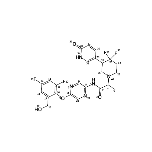 CC(C(=O)Nc1cnc(Oc2c(F)cc(F)cc2CO)cn1)N1CCC(F)(F)C(c2ccc(=O)[nH]c2)C1